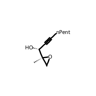 CCCCCC#C[C@@H](O)[C@]1(C)CO1